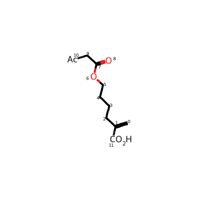 C=C(CCCCOC(=O)CC(C)=O)C(=O)O